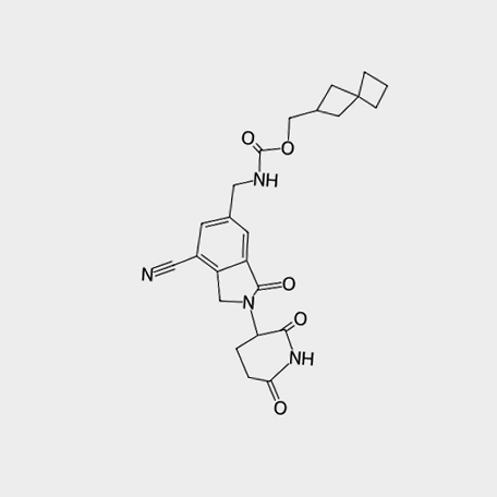 N#Cc1cc(CNC(=O)OCC2CC3(CCC3)C2)cc2c1CN(C1CCC(=O)NC1=O)C2=O